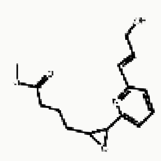 COC(=O)CCCC1OC1c1cccc(C=CCO)n1